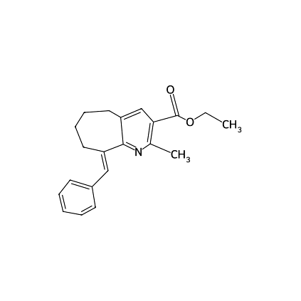 CCOC(=O)c1cc2c(nc1C)/C(=C/c1ccccc1)CCCC2